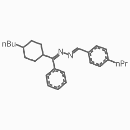 CCCCC1CCC(C(=NN=Cc2ccc(CCC)cc2)c2ccccc2)CC1